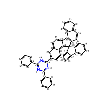 c1ccc(-c2nc(-c3ccccc3)nc(-c3ccc4c5c(ccc4c3)-c3c(ccc4ccccc34)C53c4ccccc4-c4ccccc43)n2)cc1